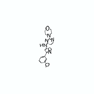 COc1cccc(-c2cc(Nc3ccnc(N4CCOCC4)n3)on2)c1